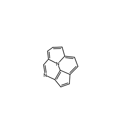 c1cc2ccc3ccc4ncc(c1)n2c34